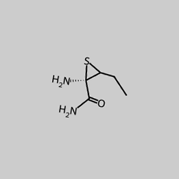 CCC1S[C@]1(N)C(N)=O